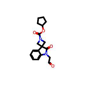 O=CCN1C(=O)C2(CN(C(=O)OC3CCCC3)C2)c2ccccc21